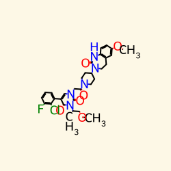 COC[C@H](C)n1c(=O)c(-c2cccc(F)c2Cl)cn(CC(=O)N2CCC(N3CCc4cc(OC)ccc4NC3=O)CC2)c1=O